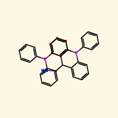 NCC(c1ccccc1P(c1ccccc1)c1ccccc1)c1ccccc1P(c1ccccc1)c1ccccc1